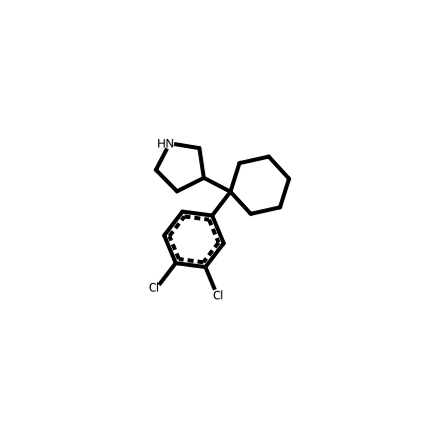 Clc1ccc(C2(C3CCNC3)CCCCC2)cc1Cl